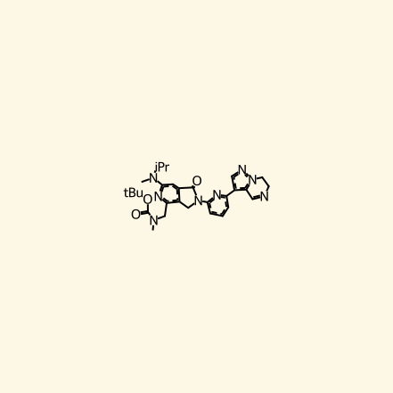 CC(C)N(C)c1cc2c(c(CN(C)C(=O)OC(C)(C)C)n1)CN(c1cccc(-c3cnn4c3C=NCC4)n1)C2=O